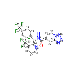 O=C(N[C@@H](c1ccc(C(F)(F)F)cc1)c1ncccc1C(F)(F)F)c1ccn2nnnc2c1